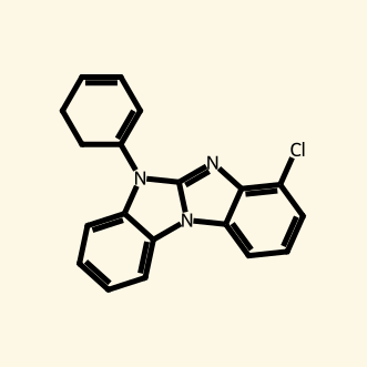 Clc1cccc2c1nc1n(C3=CC=CCC3)c3ccccc3n21